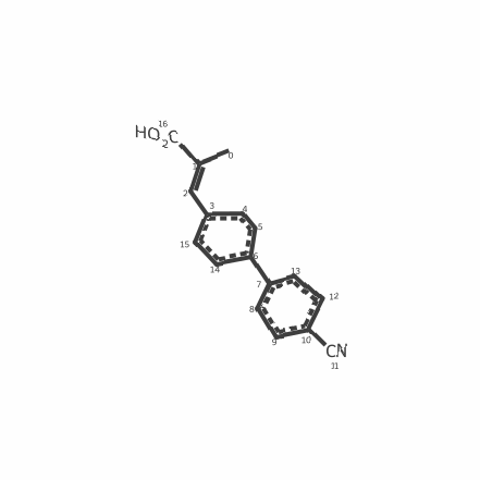 CC(=Cc1ccc(-c2ccc(C#N)cc2)cc1)C(=O)O